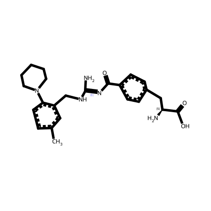 Cc1ccc(N2CCCCC2)c(CN/C(N)=N/C(=O)c2ccc(C[C@H](N)C(=O)O)cc2)c1